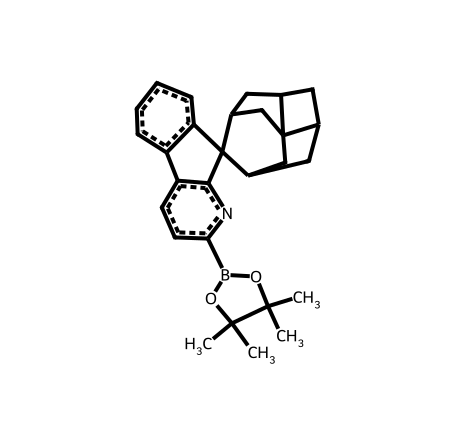 CC1(C)OB(c2ccc3c(n2)C2(c4ccccc4-3)C3CC4CC5CC2CC45C3)OC1(C)C